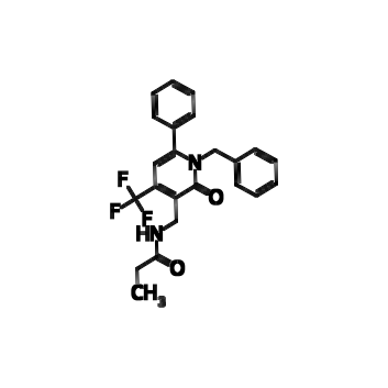 CCC(=O)NCc1c(C(F)(F)F)cc(-c2ccccc2)n(Cc2ccccc2)c1=O